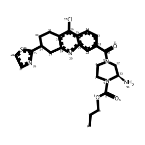 CCCOC(=O)N1CCN(C(=O)c2ccc3c(Cl)c4c(nc3c2)CC(c2nccs2)CC4)C[C@H]1N